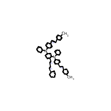 Cc1ccc(/C=C/c2ccc(N(c3ccccc3)c3ccc(/C=C/C=C/c4ccccc4)c(N(c4ccccc4)c4ccc(/C=C/c5ccc(C)cc5)cc4)c3)cc2)cc1